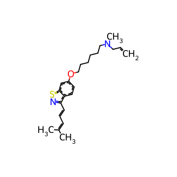 C=CCN(C)CCCCCCOc1ccc2c(C=CC=C(C)C)nsc2c1